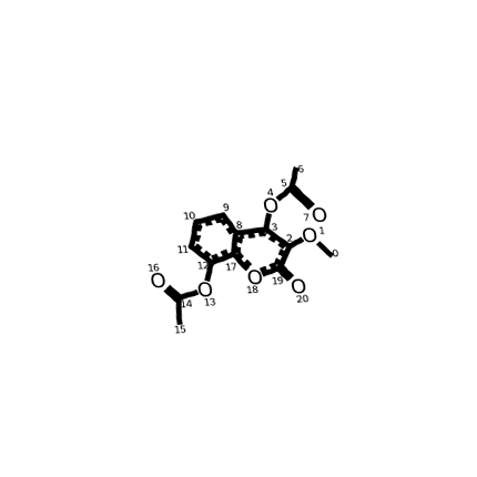 COc1c(OC(C)=O)c2cccc(OC(C)=O)c2oc1=O